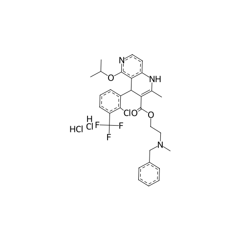 CC1=C(C(=O)OCCN(C)Cc2ccccc2)C(c2cccc(C(F)(F)F)c2Cl)c2c(ccnc2OC(C)C)N1.Cl.Cl